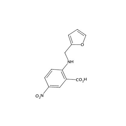 O=C(O)c1cc([N+](=O)[O-])ccc1NCc1ccco1